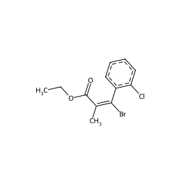 CCOC(=O)C(C)=C(Br)c1ccccc1Cl